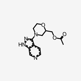 CC(=O)OCC1CN(c2n[nH]c3cnccc23)CCO1